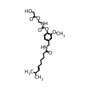 COc1cc(CNC(=O)CCCC/C=C/C(C)C)ccc1OC(=O)NCOC(=O)CO